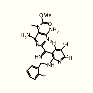 [2H]c1nc(NCc2ccccc2F)c(C(=N)c2nc(N)c(N(C)C(=O)OC)c(N)n2)c([2H])c1[2H]